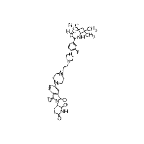 CC1(C)CC(C)(C)C1NC(=O)c1ccc(N2CCN(CCN3CCN(c4ccc5c(c4)C(=O)N(C4CCC(=O)NC4=O)C5=O)CC3)CC2)c(F)c1